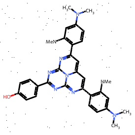 CNc1cc(N(C)C)ccc1C1=CC2=CC(c3ccc(N(C)C)cc3NC)=NC3=NC(c4ccc(O)cc4)=NC(=N1)N23